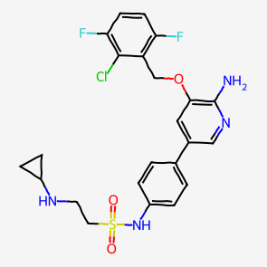 Nc1ncc(-c2ccc(NS(=O)(=O)CCNC3CC3)cc2)cc1OCc1c(F)ccc(F)c1Cl